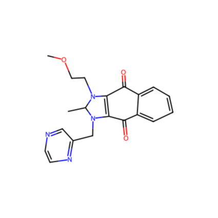 COCCN1C2=C(C(=O)c3ccccc3C2=O)N(Cc2cnccn2)C1C